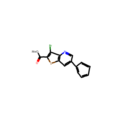 COC(=O)c1sc2cc(-c3ccccc3)cnc2c1Br